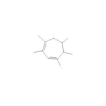 CCC1CC(C)=C(C)C=C(N)C1C